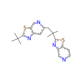 CC(C)(C)c1nc2cc(CC(C)(C)c3nc4cnccc4s3)ncc2s1